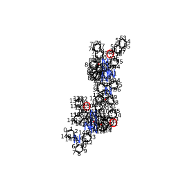 c1ccc(-n2c3ccccc3c3ccc(-c4nc(-c5ccc6oc7ccc(-c8ccc(-n9c%10ccccc%10c%10c(-c%11nc(-c%12ccc%13c(oc%14cc%15ccccc%15cc%14%13)c%12-n%12c%13cc%14ccccc%14cc%13c%13cc%14ccccc%14cc%13%12)nc(-c%12cccc%13ccccc%12%13)n%11)cccc%109)cc8)cc7c6c5)nc(-c5c(-n6c7cc8ccccc8cc7c7cc8ccccc8cc76)c6oc7ccccc7c6c6ccccc56)n4)cc32)cc1